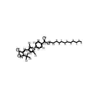 CCCCCCCCCCCCOC(=O)c1ccc(-n2c(C)cc(C=C3C(=O)ON=C3C(C)(C)C)c2C)cc1